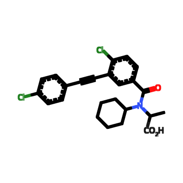 CC(C(=O)O)N(C(=O)c1ccc(Cl)c(C#Cc2ccc(Cl)cc2)c1)C1CCCCC1